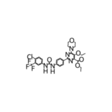 CCOC(=O)c1nc(-c2ccc(NC(=O)Nc3ccc(Cl)c(C(F)(F)F)c3)cc2)nc(N2CCOCC2)c1OCC